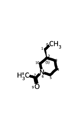 CC[C@H]1CCCN(C(C)=O)C1